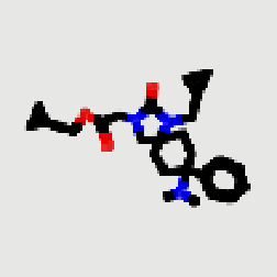 CN(C)C1(c2ccccc2)CCC2(CC1)CN(CC(=O)OCC1CC1)C(=O)N2CC1CC1